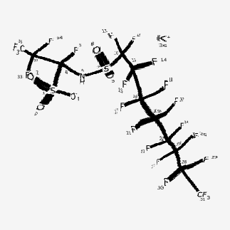 O=S(=O)([O-])C(F)(NS(=O)(=O)C(F)(F)C(F)(F)C(F)(F)C(F)(F)C(F)(F)C(F)(F)C(F)(F)C(F)(F)F)C(F)(F)C(F)(F)F.[K+]